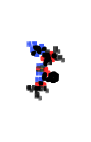 CC(C)(C)OC(=O)N[C@@H](Cc1ccccc1)C(=O)NS(=O)(=O)NC[C@H]1O[C@@H](n2cnc3c(N)ncnc32)[C@@H]2OC(C)(C)O[C@@H]21